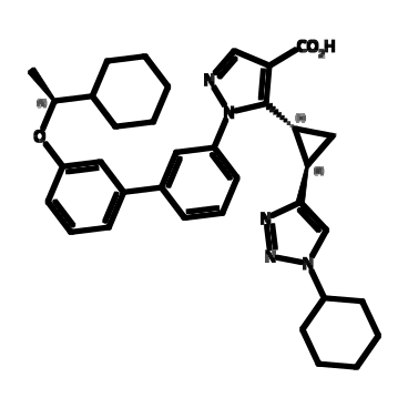 C[C@H](Oc1cccc(-c2cccc(-n3ncc(C(=O)O)c3[C@@H]3C[C@H]3c3cn(C4CCCCC4)nn3)c2)c1)C1CCCCC1